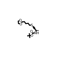 C[C@H](C#CSCCCCC1OCCO1)NC(=O)OC(C)(C)C